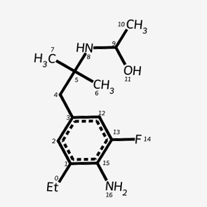 CCc1cc(CC(C)(C)NC(C)O)cc(F)c1N